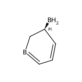 B[C@H]1C=CC=BC1